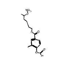 Cc1cc(C(=O)OCCCCC(C)O[N+](=O)[O-])ccc1OC(=O)C(C)C